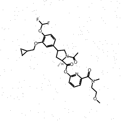 COCCN(C)C(=O)c1cccc(OC(=O)[C@@]2(C)CC(c3ccc(OC(F)F)c(OCC4CC4)c3)CN2C(C)=O)n1